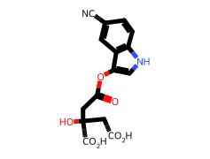 N#Cc1ccc2[nH]cc(OC(=O)CC(O)(CC(=O)O)C(=O)O)c2c1